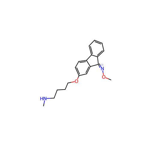 CNCCCCOc1ccc2c(c1)/C(=N\OC)c1ccccc1-2